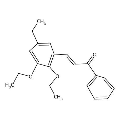 CCOc1cc(CC)cc(C=CC(=O)c2ccccc2)c1OCC